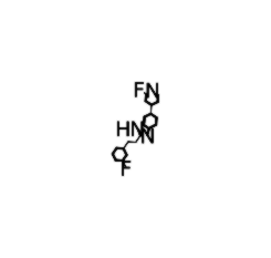 Fc1cccc(CCc2nc3ccc(-c4ccnc(F)c4)cc3[nH]2)c1